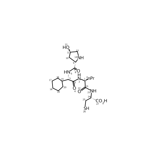 CCC[C@H](NC(=O)[C@@H](NC(=O)[C@@H]1C[C@@H](O)CN1)C1CCCCC1)C(=O)N[C@@H](CS)C(=O)O